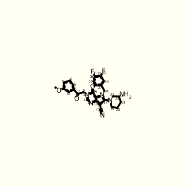 COc1cccc(C(=O)Cn2cnc3c(C#N)c(N4CCC[C@@H](N)C4)n(Cc4ccc(F)c(F)c4)c3c2=O)c1